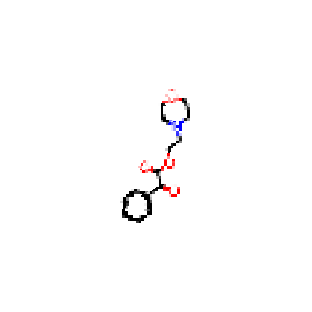 O=C(OCCN1CCOCC1)C(=O)c1ccccc1